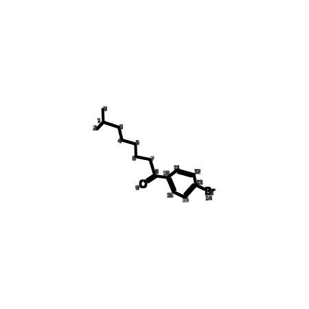 CC(C)CCCCCC(=O)c1ccc(Br)cc1